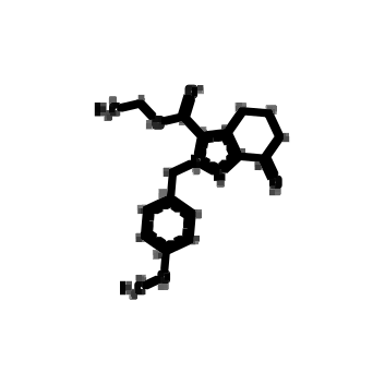 CCOC(=O)c1c2c(nn1Cc1ccc(OC)cc1)C(=O)CCC2